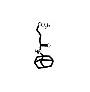 O=C(O)CCCC(=O)NC12CC3CC(CC(C3)C1)C2